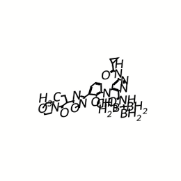 BC(B)(B)NC(=O)c1nnc(NC(=O)C2CC2)cc1Nc1cccc(-c2noc(C(CC)C(=O)N3CCOCC3)n2)c1OC